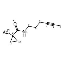 CC#CCCCNC(=O)C1(C(C)=O)CC1